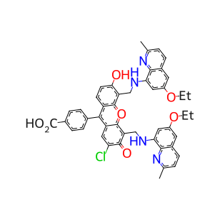 CCOc1cc(NCc2c3oc4c(CNc5cc(OCC)cc6ccc(C)nc56)c(O)ccc4c(-c4ccc(C(=O)O)cc4)c-3cc(Cl)c2=O)c2nc(C)ccc2c1